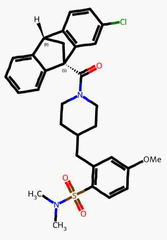 COc1ccc(S(=O)(=O)N(C)C)c(CC2CCN(C(=O)[C@@]34C[C@H](c5ccccc53)c3ccc(Cl)cc34)CC2)c1